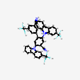 N#Cc1cc(-c2cc(-n3c4ccccc4c4ccc(C(F)(F)F)cc43)c(C#N)cc2-n2c3ccccc3c3ccc(C(F)(F)F)cc32)cc(C(F)(F)F)c1